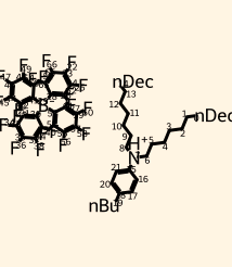 CCCCCCCCCCCCCCCC[NH+](CCCCCCCCCCCCCCCC)c1ccc(CCCC)cc1.Fc1c(F)c(F)c([B-](c2c(F)c(F)c(F)c(F)c2F)(c2c(F)c(F)c(F)c(F)c2F)c2c(F)c(F)c(F)c(F)c2F)c(F)c1F